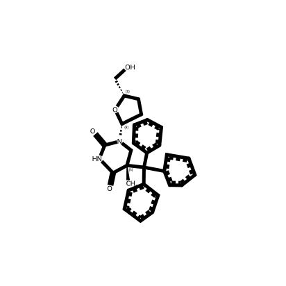 C[C@]1(C(c2ccccc2)(c2ccccc2)c2ccccc2)CN([C@H]2CC[C@@H](CO)O2)C(=O)NC1=O